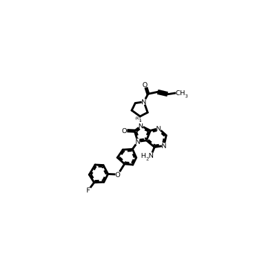 CC#CC(=O)N1CC[C@@H](n2c(=O)n(-c3ccc(Oc4cccc(F)c4)cc3)c3c(N)ncnc32)C1